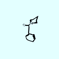 O=C(C1=CC[CH]C=C1)N1CCC1